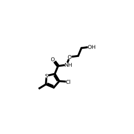 Cc1cc(Cl)c(C(=O)NOCCO)s1